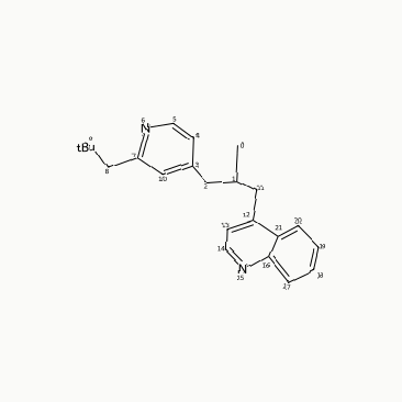 CC(Cc1ccnc(CC(C)(C)C)c1)Cc1ccnc2ccccc12